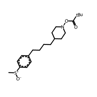 C[S+]([O-])c1ccc(CCCCC2CCN(OC(=O)C(C)(C)C)CC2)cc1